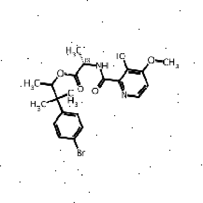 COc1ccnc(C(=O)N[C@@H](C)C(=O)OC(C)C(C)(C)c2ccc(Br)cc2)c1O